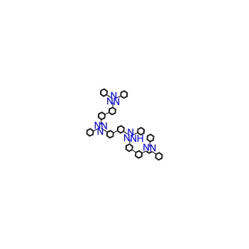 c1ccc(C2=NC(c3cccc(-c4cccc(-c5nc(-c6ccccc6)nc(-c6cccc(-c7cccc(-c8nc(-c9ccccc9)nc(-c9ccccc9)n8)c7)c6)n5)c4)c3)=NC(c3cccc(-c4cccc(-c5cc(-c6ccccc6)nc(-c6ccccc6)n5)c4)c3)N2)cc1